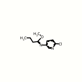 CCCC(=Nc1ccc(Cl)nc1)OC